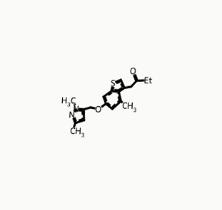 CCC(=O)Cc1csc2cc(OCc3cc(C)nn3C)cc(C)c12